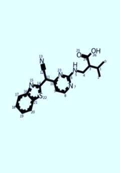 CC(C)C(CNc1nccc(C(C#N)c2nc3ccccc3s2)n1)C(=O)O